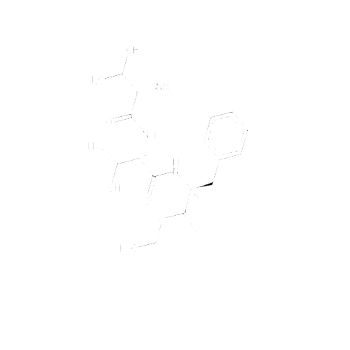 CCOC(=O)[C@H](Cc1ccccc1)NC(=O)[C@@H](NC(=O)[C@@H](N)C(C)C)C(C)C